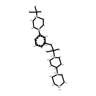 CC(C)(C)N1CCN(c2cccc(CC(C)(C)N3CCC(N4CCOCC4)CC3)c2)CC1